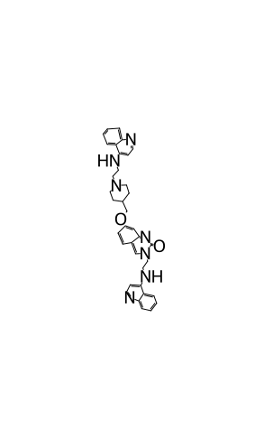 O=c1nc2cc(OCC3CCN(CCNc4ccnc5ccccc45)CC3)ccc2cn1CCNc1ccnc2ccccc12